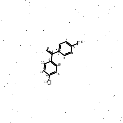 C=C(c1ccc(F)cc1)c1ccc(Cl)cc1